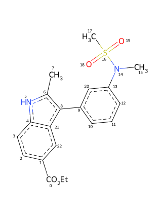 CCOC(=O)c1ccc2[nH]c(C)c(-c3cccc(N(C)S(C)(=O)=O)c3)c2c1